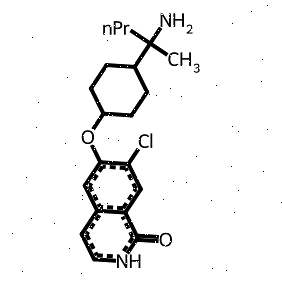 CCCC(C)(N)C1CCC(Oc2cc3cc[nH]c(=O)c3cc2Cl)CC1